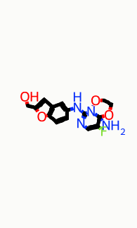 NC12OCCON1C(Nc1ccc3oc(CO)cc3c1)=NC=C2F